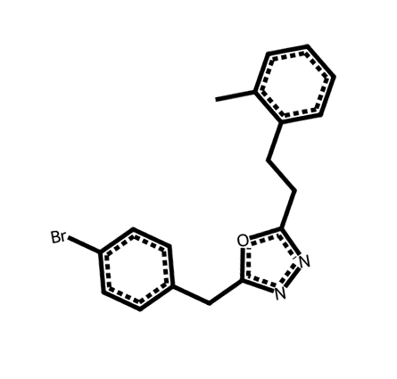 Cc1ccccc1CCc1nnc(Cc2ccc(Br)cc2)o1